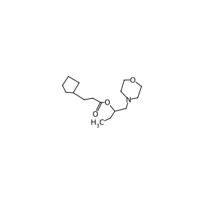 CCC(CN1CCOCC1)OC(=O)CCC1CCCC1